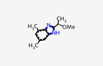 CO[C@H](C)c1nc2c(C)cc(C)cc2[nH]1